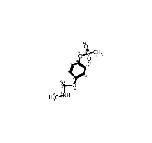 CNC(=S)Oc1ccc(OS(C)(=O)=O)cc1